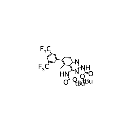 Cc1c(-c2cc(C(F)(F)F)cc(C(F)(F)F)c2)ccc2nc(NC(=O)OC(C)(C)C)nc(NC(=O)OC(C)(C)C)c12